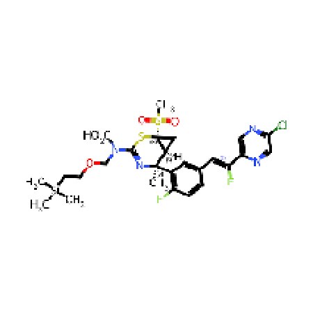 C[C@]1(c2cc(/C=C(\F)c3cnc(Cl)cn3)ccc2F)N=C(N(COCC[Si](C)(C)C)C(=O)O)S[C@@]2(S(C)(=O)=O)C[C@H]21